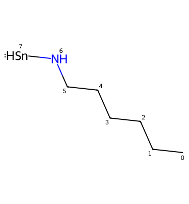 CCCCCC[NH][SnH]